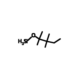 CCC(C)(C)C(C)(C)O[SiH3]